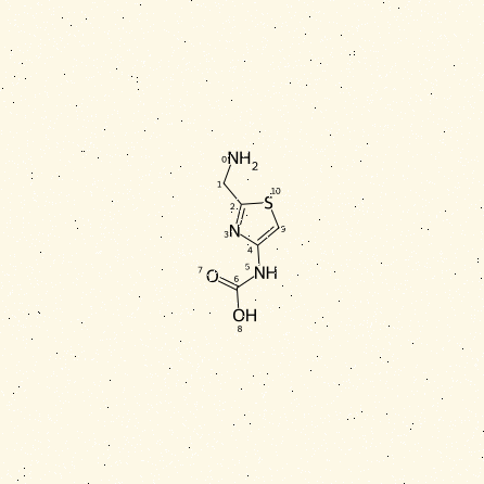 NCc1nc(NC(=O)O)cs1